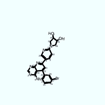 Nc1ncnc2nc(-c3ccc(N4CC(O)C(O)C4)nc3)cc(-c3cccc(Br)c3)c12